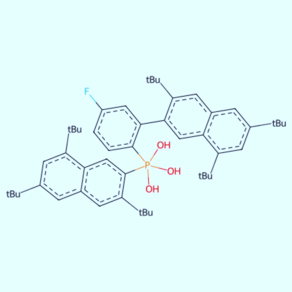 CC(C)(C)c1cc(C(C)(C)C)c2cc(-c3cc(F)ccc3P(O)(O)(O)c3cc4c(C(C)(C)C)cc(C(C)(C)C)cc4cc3C(C)(C)C)c(C(C)(C)C)cc2c1